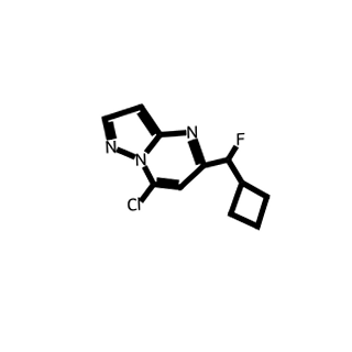 FC(c1cc(Cl)n2nccc2n1)C1CCC1